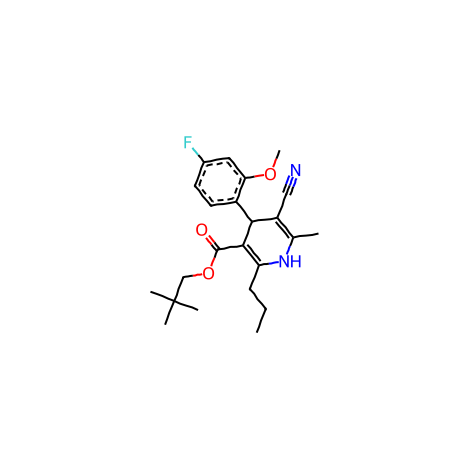 CCCC1=C(C(=O)OCC(C)(C)C)C(c2ccc(F)cc2OC)C(C#N)=C(C)N1